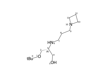 CC(C)(C)OC[C@@H](CO)NCCCN1CCC1